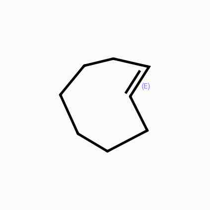 C1=C/CCCCCC/1